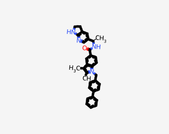 Cc1c(C)n(Cc2ccc(-c3ccccc3)cc2)c2ccc(C(=O)N[C@@H](C)c3cnc4c(c3)CCN4)cc12